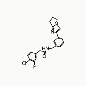 O=C(Cc1ccc(Cl)c(F)c1)NCc1cccc(-c2cn3c(n2)CCC3)c1